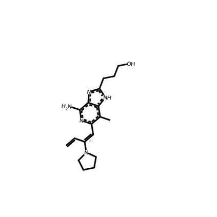 C=C/C(=C\c1nc(N)c2nc(CCCO)[nH]c2c1C)N1CCCC1